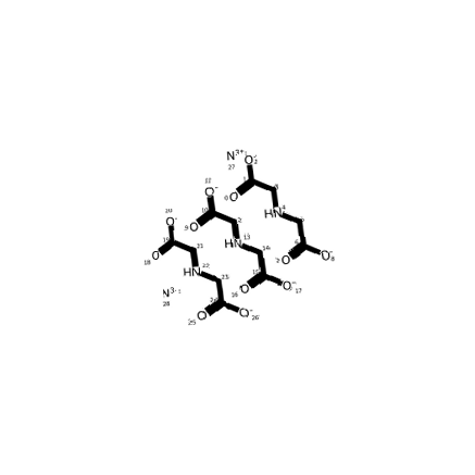 O=C([O-])CNCC(=O)[O-].O=C([O-])CNCC(=O)[O-].O=C([O-])CNCC(=O)[O-].[N+3].[N+3]